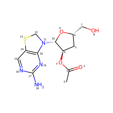 CC(=O)O[C@@H]1C[C@@H](CO)O[C@H]1N1CSc2cnc(N)nc21